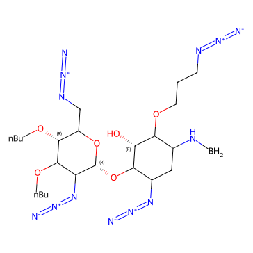 BNC1CC(N=[N+]=[N-])C(O[C@H]2OC(CN=[N+]=[N-])[C@@H](OCCCC)C(OCCCC)C2N=[N+]=[N-])[C@H](O)C1OCCCN=[N+]=[N-]